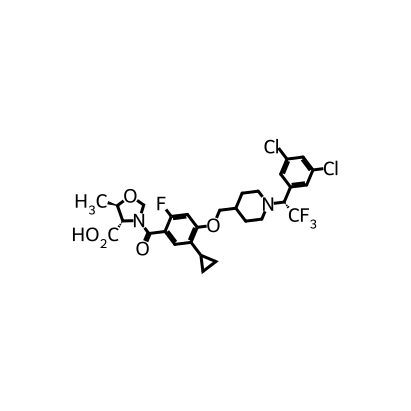 C[C@H]1OCN(C(=O)c2cc(C3CC3)c(OCC3CCN([C@H](c4cc(Cl)cc(Cl)c4)C(F)(F)F)CC3)cc2F)[C@@H]1C(=O)O